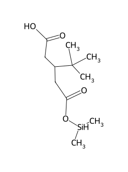 C[SiH](C)OC(=O)CC(CC(=O)O)C(C)(C)C